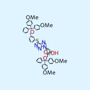 COc1ccc(C(OCc2cccc(Sc3ncnc4c3ncn4[C@H]3C[C@H](O)[C@@H](COC(c4ccccc4)(c4ccc(OC)cc4)c4ccc(OC)cc4)O3)c2)(c2ccccc2)c2ccc(OC)cc2)cc1